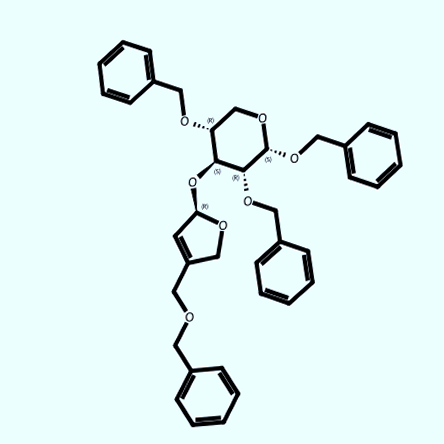 C1=C(COCc2ccccc2)CO[C@@H]1O[C@@H]1[C@@H](OCc2ccccc2)[C@@H](OCc2ccccc2)OC[C@H]1OCc1ccccc1